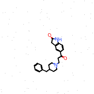 O=C1Cc2cc(C(=O)CCN3CCC(Cc4ccccc4)CC3)ccc2N1